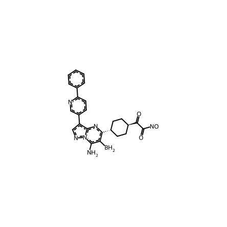 Bc1c(N)n2ncc(-c3ccc(-c4ccccc4)nc3)c2nc1[C@H]1CC[C@H](C(=O)C(=O)N=O)CC1